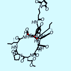 CC[C@H](C)[C@@H]1NC(=O)CNC(=O)[C@@H]2Cc3c([nH]c4ccc(NC(=O)CCCN5C(=O)C=CC5=O)cc34)SC[C@H](NC(=O)CNC1=O)C(=O)N[C@@H](CC(=O)OC)C(=O)N1CCC[C@H]1C(=O)N[C@@H]([C@@H](C)CC)C(=O)N2